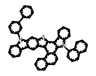 c1ccc(-c2cccc(-n3c4ccccc4c4cc5c(cc43)sc3c5c4c5ccccc5ccc4c4c3c3ccccc3n4-c3cccc4ccccc34)c2)cc1